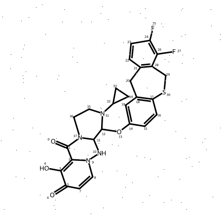 O=C1c2c(O)c(=O)ccn2NC2C(Oc3ccc4c(c3)Cc3ccc(F)c(F)c3CS4)N(C3CC3)CCN12